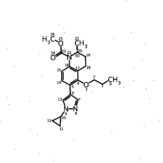 CCCOc1c(-c2cnn(C3CC3)c2)ccc2c1CC[C@H](C)N2C(=O)OC